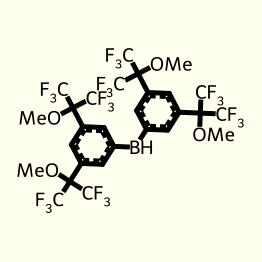 COC(c1cc(Bc2cc(C(OC)(C(F)(F)F)C(F)(F)F)cc(C(OC)(C(F)(F)F)C(F)(F)F)c2)cc(C(OC)(C(F)(F)F)C(F)(F)F)c1)(C(F)(F)F)C(F)(F)F